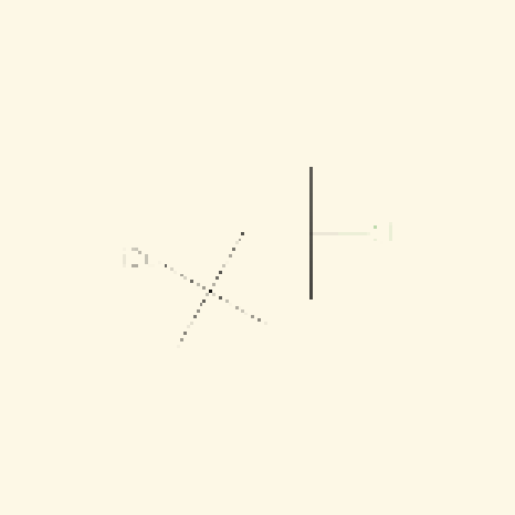 CCC(C)C(C)(C)CC(C)(C)Cl